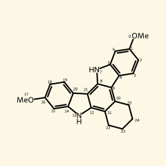 COc1ccc2c(c1)[nH]c1c2c2c(c3[nH]c4cc(OC)ccc4c31)CCCC2